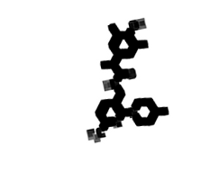 Cc1cc(C(C)C(=O)NCc2ccc(C(F)(F)F)nc2N2CCC(C)CC2)cc(C)c1O